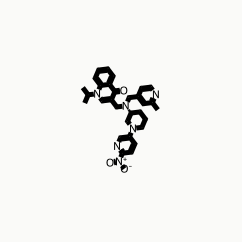 Cc1cc(CN(Cc2cn(C(C)C)c3ccccc3c2=O)[C@H]2CCCN(c3ccc([N+](=O)[O-])nc3)C2)ccn1